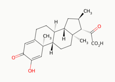 C[C@@H]1C[C@H]2[C@@H]3CCC4=CC(=O)C(O)=C[C@]4(C)[C@H]3CC[C@]2(C)[C@H]1C(=O)C(=O)O